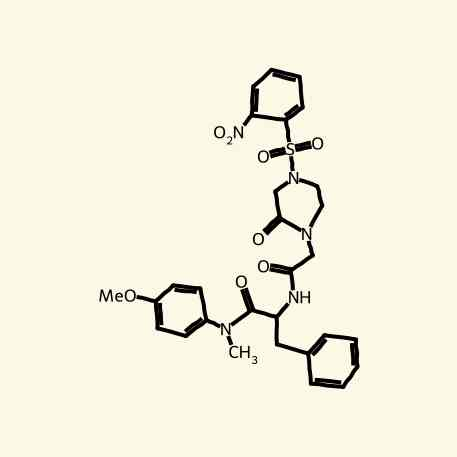 COc1ccc(N(C)C(=O)C(Cc2ccccc2)NC(=O)CN2CCN(S(=O)(=O)c3ccccc3[N+](=O)[O-])CC2=O)cc1